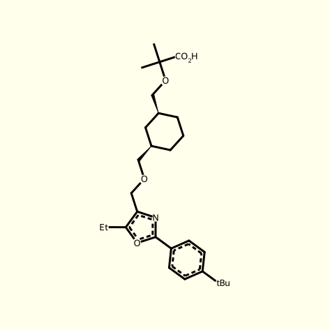 CCc1oc(-c2ccc(C(C)(C)C)cc2)nc1COC[C@@H]1CCC[C@H](COC(C)(C)C(=O)O)C1